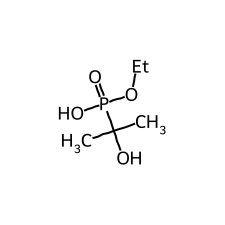 CCOP(=O)(O)C(C)(C)O